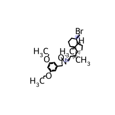 CCOc1cc(C/[N+]([O-])=C/C[C@@H](C)[C@H]2CC[C@H]3/C(=C/Br)CCC[C@]23C)cc(OCC)c1